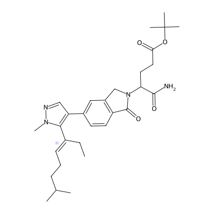 CC/C(=C\CCC(C)C)c1c(-c2ccc3c(c2)CN(C(CCC(=O)OC(C)(C)C)C(N)=O)C3=O)cnn1C